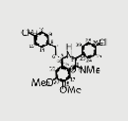 CNC(=O)[C@@H](N[C@@H](CCc1ccc(Cl)cc1)c1ccc(OC)c(OC)c1)c1ccc(Cl)cc1